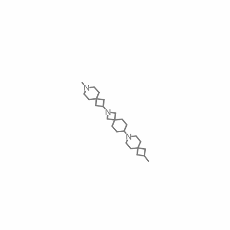 CC1CC2(CCN(C3CCC4(CC3)CN(C3CC5(CCN(C)CC5)C3)C4)CC2)C1